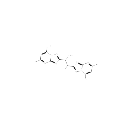 Cc1cc(O)n2nc(C(O)C(O)c3nc4nc(C)cc(O)n4n3)nc2n1